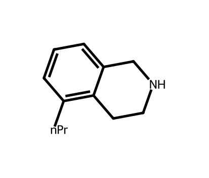 CCCc1cccc2c1CCNC2